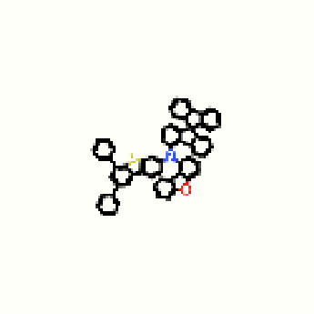 c1ccc(-c2cc(-c3ccccc3)c3sc4cc(N(c5cccc6c5-c5ccccc5C65c6ccccc6-c6ccccc65)c5cccc6oc7ccccc7c56)ccc4c3c2)cc1